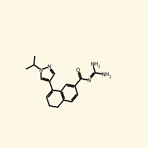 CC(C)n1cc(C2=CCCc3ccc(C(=O)N=C(N)N)cc32)cn1